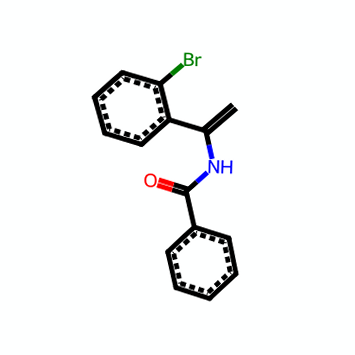 C=C(NC(=O)c1ccccc1)c1ccccc1Br